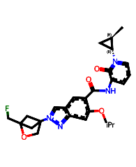 CC(C)Oc1cc2nn(C34COC(CF)(C3)C4)cc2cc1C(=O)Nc1cccn([C@@H]2C[C@H]2C)c1=O